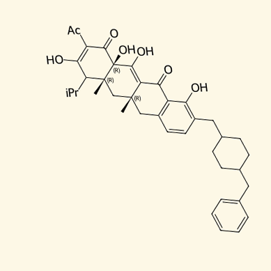 CC(=O)C1=C(O)C(C(C)C)[C@@]2(C)C[C@@]3(C)Cc4ccc(CC5CCC(Cc6ccccc6)CC5)c(O)c4C(=O)C3=C(O)[C@@]2(O)C1=O